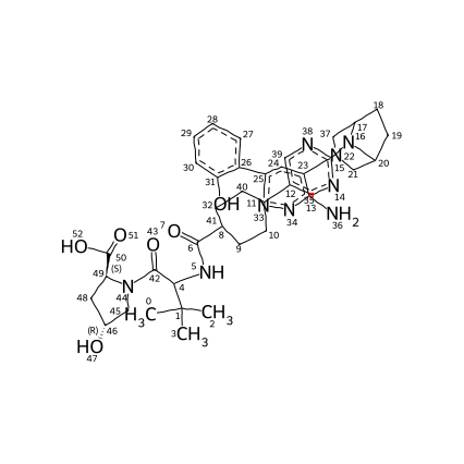 CC(C)(C)C(NC(=O)C1CCC(c2cnc(N3C4CCC3CN(c3cc(-c5ccccc5O)nnc3N)C4)nc2)CC1)C(=O)N1C[C@H](O)C[C@H]1C(=O)O